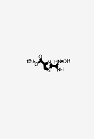 CC(C)(C)OC(=O)c1csc(C(=N)NO)n1